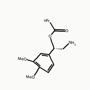 CCCC(=O)O[C@H](CN)c1ccc(OC)c(OC)c1